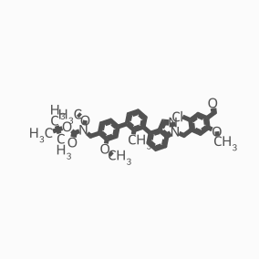 COc1cc(Cn2ncc3c(-c4cccc(-c5ccc(CN(OC)C(=O)OC(C)(C)C)c(OC)c5)c4C)cccc32)c(Cl)cc1C=O